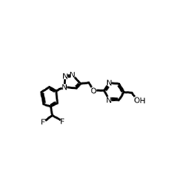 OCc1cnc(OCc2cn(-c3cccc(C(F)F)c3)nn2)nc1